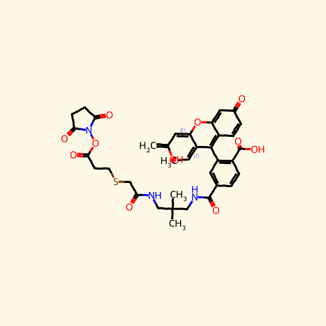 C=C(O)/C=c1/oc2cc(=O)ccc-2c(-c2cc(C(=O)NCC(C)(C)CNC(=O)CSCCC(=O)ON3C(=O)CCC3=O)ccc2C(=O)O)/c1=C/C